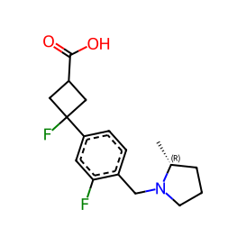 C[C@@H]1CCCN1Cc1ccc(C2(F)CC(C(=O)O)C2)cc1F